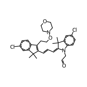 CC1(C)C(/C=C/C=C2/N(CC=O)c3ccc(Cl)cc3C2(C)C)=C(CCON2CCOCC2)c2ccc(Cl)cc21